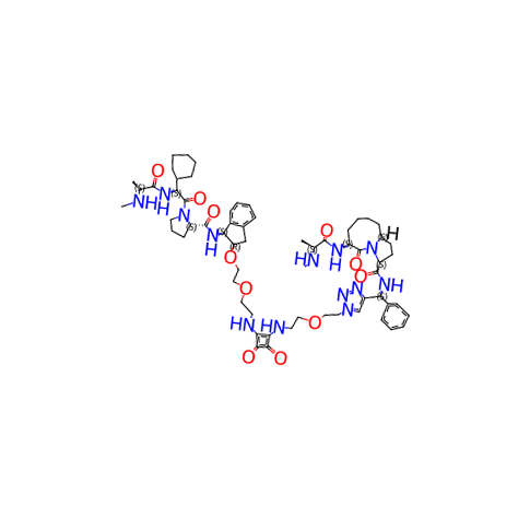 CN[C@@H](C)C(=O)N[C@H]1CCCC[C@H]2CC[C@@H](C(=O)N[C@@H](c3ccccc3)c3cn(CCOCCNc4c(NCCOCCO[C@@H]5Cc6ccccc6[C@@H]5NC(=O)[C@@H]5CCCN5C(=O)[C@@H](NC(=O)[C@H](C)NC)C5CCCCC5)c(=O)c4=O)nn3)N2C1=O